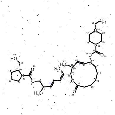 C/C(=C\C=C\C(C)COC(=O)N1CCC[C@@H]1CO)[C@H]1OC(=O)CCCCC[C@@H](OC(=O)N2CCN(CC(F)(F)F)CC2)/C=C/[C@@H]1C